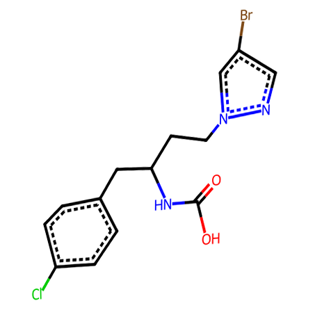 O=C(O)NC(CCn1cc(Br)cn1)Cc1ccc(Cl)cc1